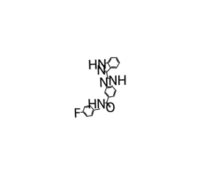 O=C(NCc1ccc(F)cc1)c1ccc2[nH]c(-c3n[nH]c4ccccc34)nc2c1